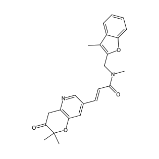 Cc1c(CN(C)C(=O)/C=C/c2cnc3c(c2)OC(C)(C)C(=O)C3)oc2ccccc12